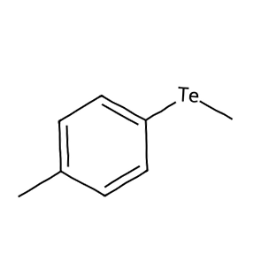 C[Te]c1ccc(C)cc1